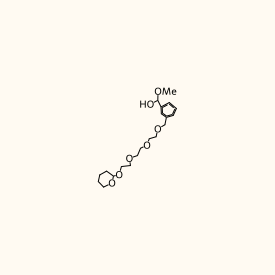 COC(O)c1cccc(COCCOCCOCCOC2CCCCO2)c1